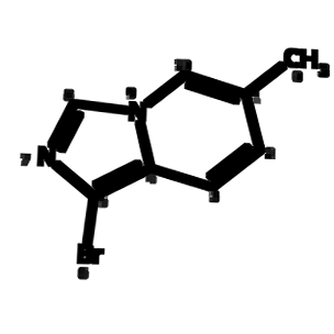 Cc1ccc2c(Br)ncn2c1